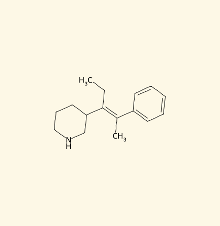 CC/C(=C(/C)c1ccccc1)C1CCCNC1